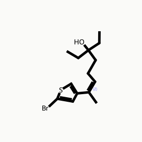 CCC(O)(CC)CC/C=C(/C)c1csc(Br)c1